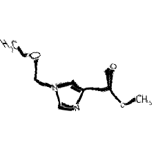 COCn1cnc(C(=O)OC)c1